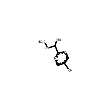 CC(C)(C)C(NC(=O)O)c1ncc(C#N)cn1